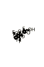 O=C(O)Cc1ccc(N2C(=O)c3c(c(OC(F)F)c4ccccc4c3CC(F)F)C2=O)cc1F